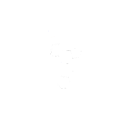 NS(=O)(=O)c1ccc2c(c1)C1C=CCC1C(Cc1ccc(Br)cc1)N2